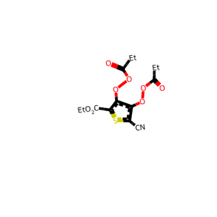 CCOC(=O)c1sc(C#N)c(OOC(=O)CC)c1OOC(=O)CC